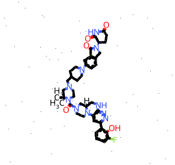 CC1(C)CN(CC2CCN(c3ccc4c(c3)C(=O)N([C@@H]3CCC(=O)NC3=O)C4)CC2)CCN1C(=O)N1CCN2c3cc(-c4cccc(F)c4O)nnc3NC[C@@H]2C1